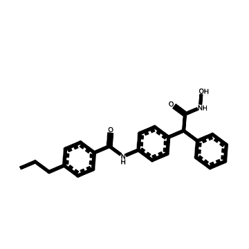 CCCc1ccc(C(=O)Nc2ccc(C(C(=O)NO)c3ccccc3)cc2)cc1